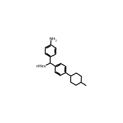 CCCCCCC(c1ccc(N)cc1)c1ccc(C2CCC(C)CC2)cc1